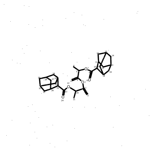 C=C(OC(=C)C(C)OC(=O)C1C2CC3CC(C2)CC1C3)C(C)OC(=O)C1C2CC3CC(C2)CC1C3